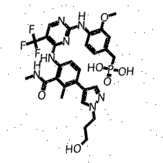 CNC(=O)c1c(Nc2nc(Nc3ccc(CP(=O)(O)O)cc3OC)ncc2C(F)(F)F)ccc(-c2cnn(CCCO)c2)c1C